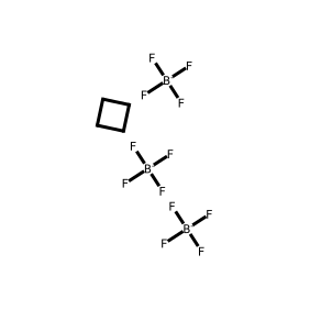 C1CCC1.F[B-](F)(F)F.F[B-](F)(F)F.F[B-](F)(F)F